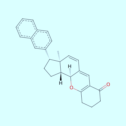 C[C@]12C=CC3=CC4=C(CCCC4=O)O[C@H]3[C@@H]1CC[C@@H]2c1ccc2ccccc2c1